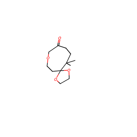 CC1(C)CCC(=O)COCCC12OCCO2